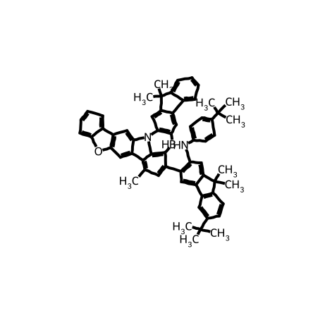 Cc1cc(-c2cc3c(cc2Nc2ccc(C(C)(C)C)cc2)C(C)(C)c2ccc(C(C)(C)C)cc2-3)c2c3c1c1cc4oc5ccccc5c4cc1n3-c1cc3c(cc1B2)-c1ccccc1C3(C)C